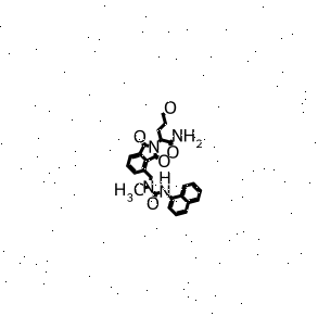 CN(Cc1cccc2c1C(=O)N(C(CCC=O)C(N)=O)C2=O)C(=O)Nc1cccc2ccccc12